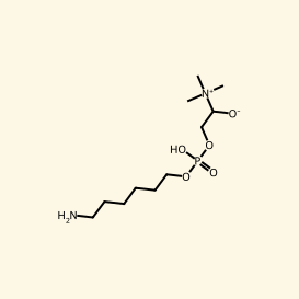 C[N+](C)(C)C([O-])COP(=O)(O)OCCCCCCN